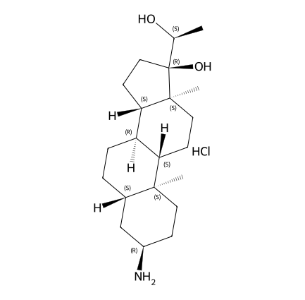 C[C@H](O)[C@@]1(O)CC[C@H]2[C@@H]3CC[C@H]4C[C@H](N)CC[C@]4(C)[C@H]3CC[C@@]21C.Cl